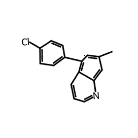 Cc1[c]c(-c2ccc(Cl)cc2)c2cccnc2c1